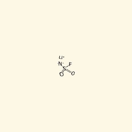 [Li+].[N-]S(=O)(=O)F